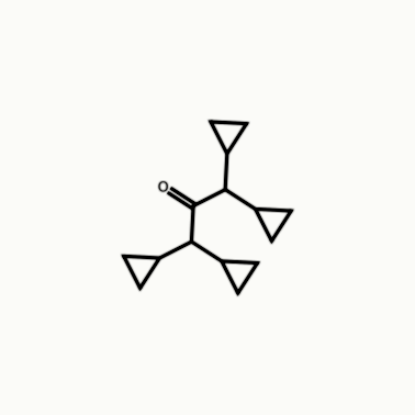 O=C(C(C1CC1)C1CC1)C(C1CC1)C1CC1